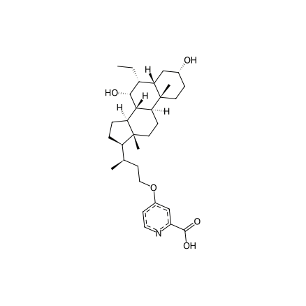 CC[C@H]1[C@@H](O)[C@@H]2[C@H](CC[C@]3(C)[C@@H]([C@H](C)CCOc4ccnc(C(=O)O)c4)CC[C@@H]23)[C@@]2(C)CC[C@@H](O)C[C@@H]12